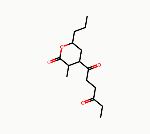 CCCC1CC(C(=O)CCC(=O)CC)C(C)C(=O)O1